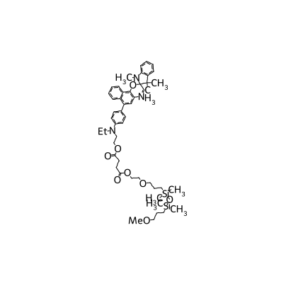 CCN(CCOC(=O)CCC(=O)OCCOCCC[Si](C)(C)O[Si](C)(C)CCCOC)c1ccc(-c2cc3c(c4ccccc24)OC2(C=N3)N(C)c3ccccc3C2(C)C)cc1